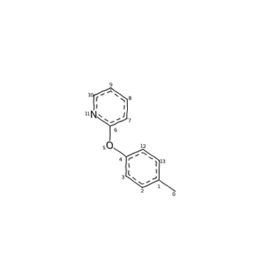 Cc1ccc(Oc2cc[c]cn2)cc1